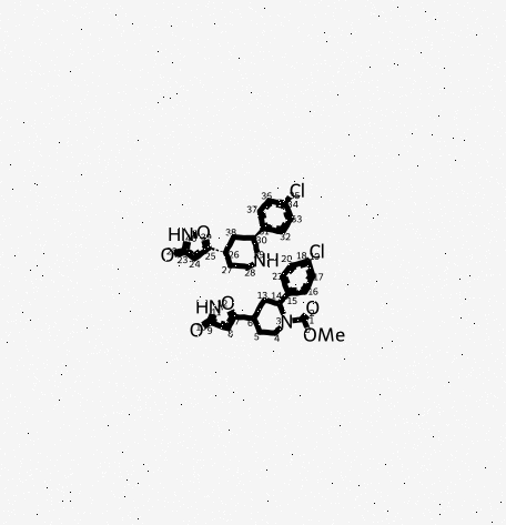 COC(=O)N1CCC(c2cc(=O)[nH]o2)CC1c1ccc(Cl)cc1.O=c1cc([C@H]2CCN[C@H](c3ccc(Cl)cc3)C2)o[nH]1